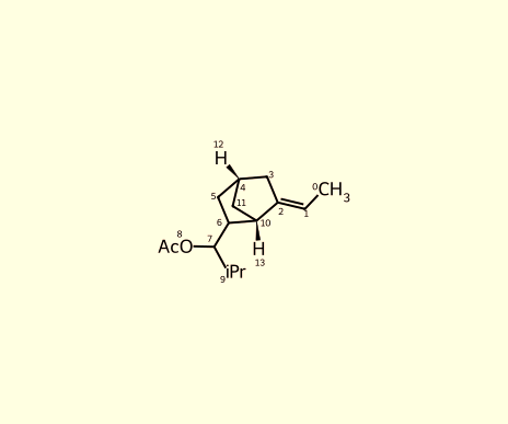 CC=C1C[C@H]2CC(C(OC(C)=O)C(C)C)[C@@H]1C2